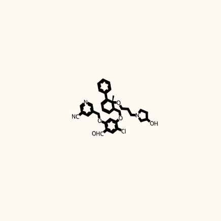 C[C@]1(OCCCN2CCC(O)C2)C(c2ccccc2)=CC=CC1COc1cc(OCc2cncc(C#N)c2)c(C=O)cc1Cl